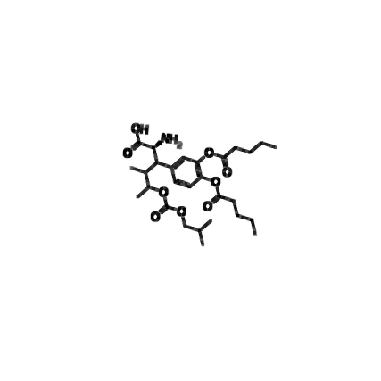 CCCCC(=O)Oc1ccc(C(C(C)C(C)OC(=O)OCC(C)C)[C@H](N)C(=O)O)cc1OC(=O)CCCC